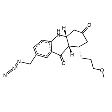 COCCC[C@H]1CC(=O)C[C@H]2Nc3ccc(CN=[N+]=[N-])cc3C(=O)[C@@H]12